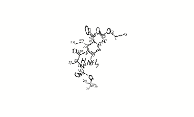 CCOc1nc2cc(N)c(C(=O)C(C)NC(=O)OC(C)(C)C)c(CC)c2c(=O)o1